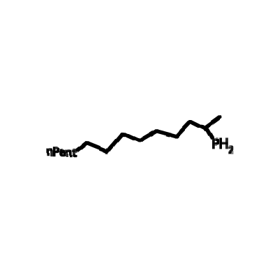 CCCCCCCCCCCCC(C)P